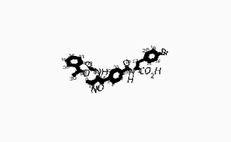 Cc1noc(-c2ccc(C(=O)NC(Cc3ccc(Br)cc3)C(=O)O)cc2)c1NC(=O)OC(C)c1ccccc1